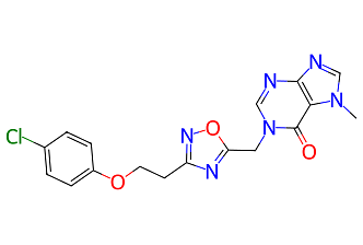 Cn1cnc2ncn(Cc3nc(CCOc4ccc(Cl)cc4)no3)c(=O)c21